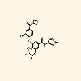 C[C@H](O)[C@H](C)Oc1cc(Oc2ccc(C(=O)N3CCC3)cc2Cl)cc(C(=O)Nc2ccn(C)n2)c1